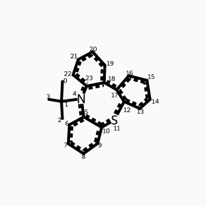 CC(C)(C)n1c2ccccc2sc2ccccc2c2ccccc21